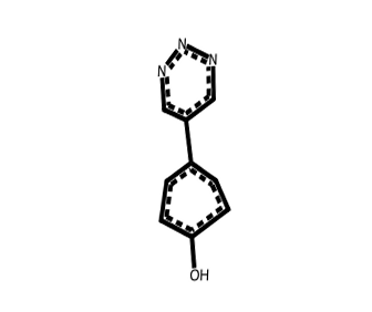 Oc1ccc(-c2cnnnc2)cc1